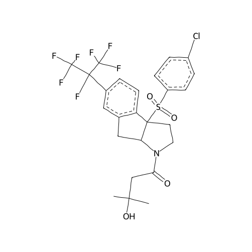 CC(C)(O)CC(=O)N1CCC2(S(=O)(=O)c3ccc(Cl)cc3)c3ccc(C(F)(C(F)(F)F)C(F)(F)F)cc3CC12